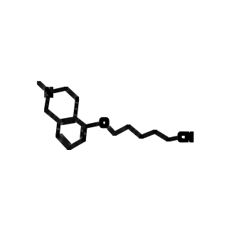 CN1CCc2c(cccc2OCCCCCC#N)C1